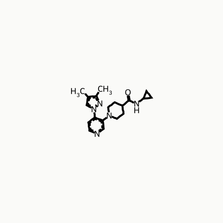 Cc1cn(-c2ccncc2N2CCC(C(=O)NC3CC3)CC2)nc1C